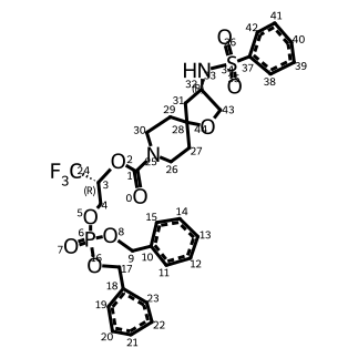 O=C(O[C@H](COP(=O)(OCc1ccccc1)OCc1ccccc1)C(F)(F)F)N1CCC2(CC1)C[C@@H](NS(=O)(=O)c1ccccc1)CO2